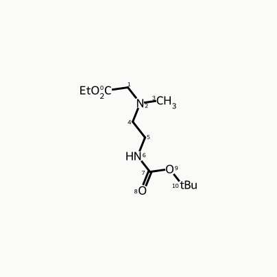 CCOC(=O)CN(C)CCNC(=O)OC(C)(C)C